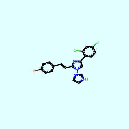 Clc1ccc(-c2c[nH]c(C=Cc3ccc(Br)cc3)n2)c(Cl)c1.c1c[nH]cn1